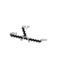 CCCCCCCC/C=C\CCCCCCCC(=O)OCC(COC(=O)CCCCCCC/C=C\CCCCCCCC)OC(=O)CCCCCCC(=O)O